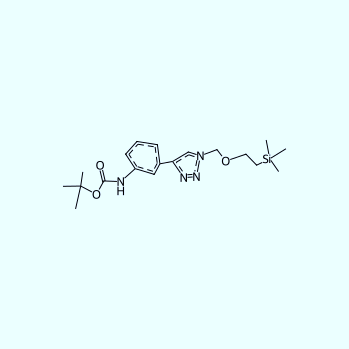 CC(C)(C)OC(=O)Nc1cccc(-c2cn(COCC[Si](C)(C)C)nn2)c1